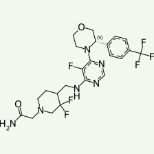 NC(=O)CN1CCC(CNc2ncnc(N3CCOC[C@@H]3c3ccc(C(F)(F)F)cc3)c2F)C(F)(F)C1